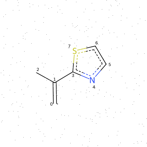 [CH]=C(C)c1nccs1